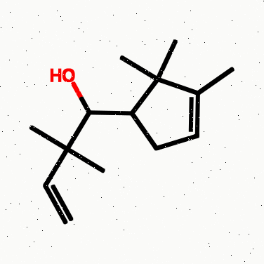 C=CC(C)(C)C(O)C1CC=C(C)C1(C)C